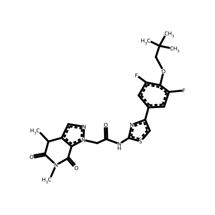 CC1C(=O)N(C)C(=O)c2c1cnn2CC(=O)Nc1nc(-c2cc(F)c(OCC(C)(C)C)c(F)c2)cs1